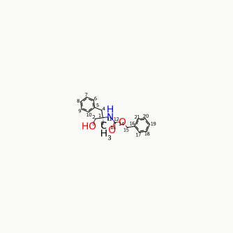 C[C@](CO)(Cc1ccccc1)NC(=O)OCc1ccccc1